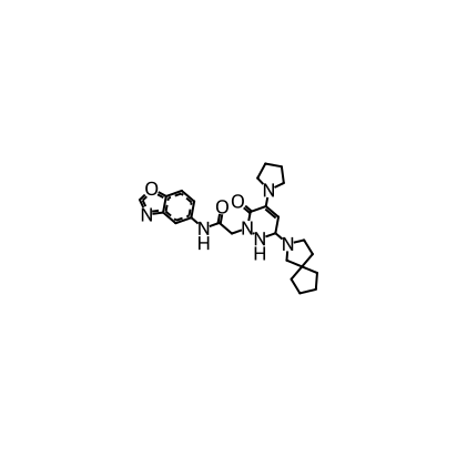 O=C(CN1NC(N2CCC3(CCCC3)C2)C=C(N2CCCC2)C1=O)Nc1ccc2ocnc2c1